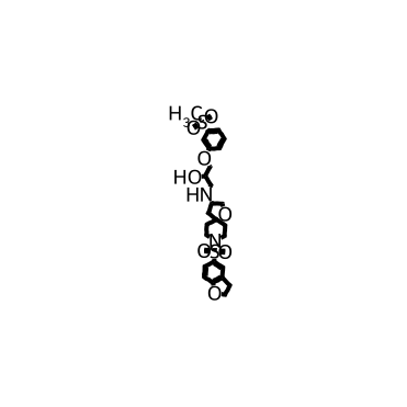 CS(=O)(=O)c1cccc(OCC(O)CNC2COC3(CCN(S(=O)(=O)c4ccc5c(c4)CCO5)CC3)C2)c1